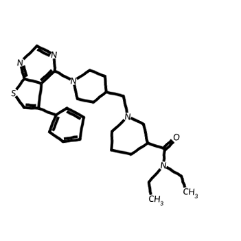 CCN(CC)C(=O)C1CCCN(CC2CCN(c3ncnc4scc(-c5ccccc5)c34)CC2)C1